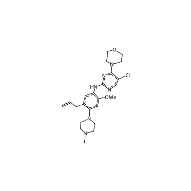 C=CCc1cc(Nc2ncc(Cl)c(N3CCOCC3)n2)c(OC)cc1N1CCN(C)CC1